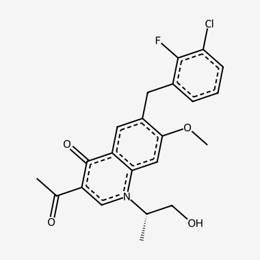 COc1cc2c(cc1Cc1cccc(Cl)c1F)c(=O)c(C(C)=O)cn2[C@@H](C)CO